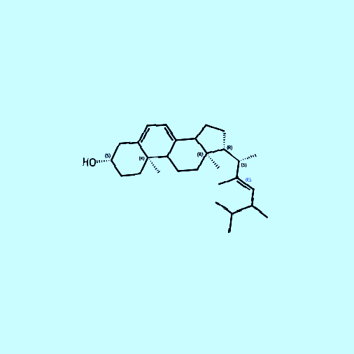 C/C(=C\C(C)C(C)C)[C@@H](C)[C@H]1CCC2C3=CC=C4C[C@@H](O)CC[C@]4(C)C3CC[C@@]21C